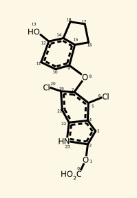 O=C(O)Oc1cc2c(Cl)c(Oc3ccc(O)c4c3CCC4)c(Cl)cc2[nH]1